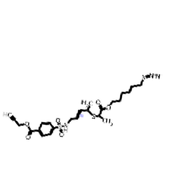 C#CCOC(=O)c1ccc(S(=O)(=O)NC/C=C/C(C)SC(C)C(=O)OCCCCCCN=[N+]=[N-])cc1